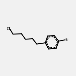 ClCCCCCc1ccc(Br)cc1